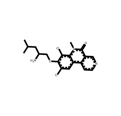 CC(C)CC(N)COc1c(Cl)cc2c3ccncc3c(=O)n(C)c2c1Cl